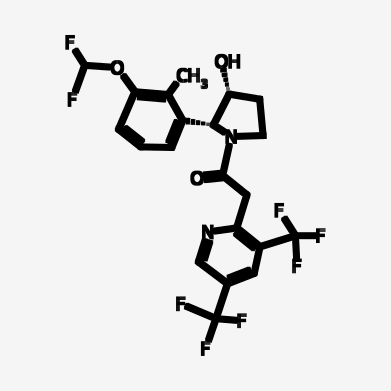 Cc1c(OC(F)F)cccc1[C@@H]1[C@H](O)CCN1C(=O)Cc1ncc(C(F)(F)F)cc1C(F)(F)F